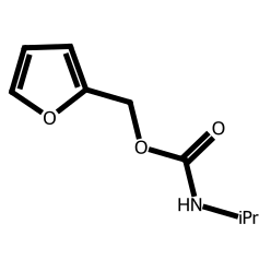 CC(C)NC(=O)OCc1ccco1